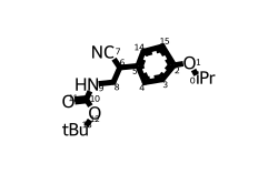 CC(C)Oc1ccc(C(C#N)CNC(=O)OC(C)(C)C)cc1